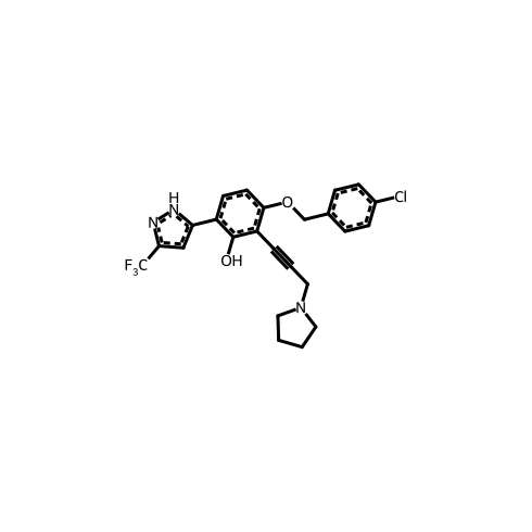 Oc1c(-c2cc(C(F)(F)F)n[nH]2)ccc(OCc2ccc(Cl)cc2)c1C#CCN1CCCC1